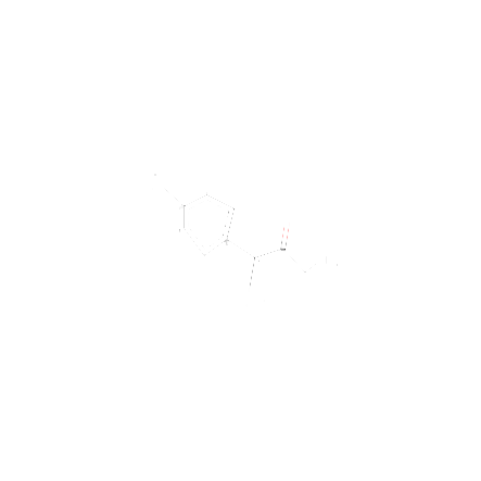 CCC(=O)C(C)c1ccc(C)cc1